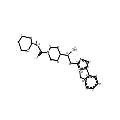 O=C(N[C@@H]1CCCCO1)N1CCC([C@@H](O)Cc2ncc3n2Cc2ccccc2-3)CC1